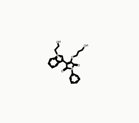 O=C1C(OCCCO)=C(c2cn(CCO)c3ccccc23)C(=O)N1c1ccccc1